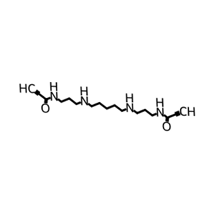 C#CC(=O)NCCCNCCCCCNCCCNC(=O)C#C